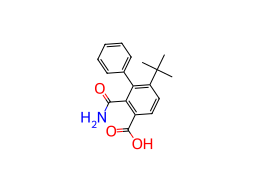 CC(C)(C)c1ccc(C(=O)O)c(C(N)=O)c1-c1ccccc1